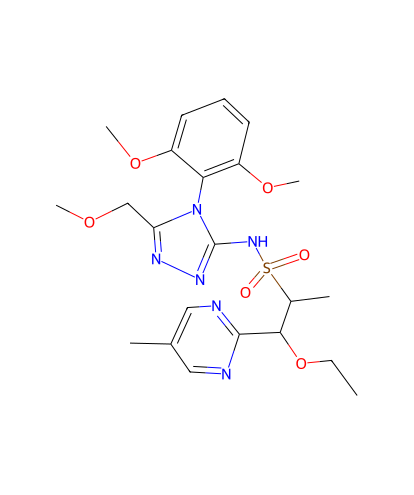 CCOC(c1ncc(C)cn1)C(C)S(=O)(=O)Nc1nnc(COC)n1-c1c(OC)cccc1OC